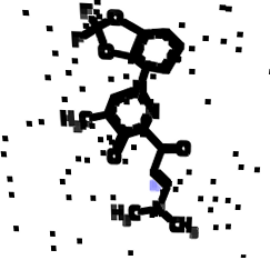 Cc1cn(-c2cccc3c2OC(F)(F)O3)nc(C(=O)/C=C/N(C)C)c1=O